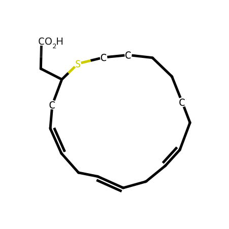 O=C(O)CC1C/C=C\C/C=C/C/C=C\CCCCCCS1